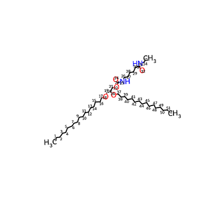 CCCCCCCCCCCCCCCCCCOC[C@H](COC(=O)NCCCCCC(=O)NCC)OCCCCCCCCCCCCCCCC